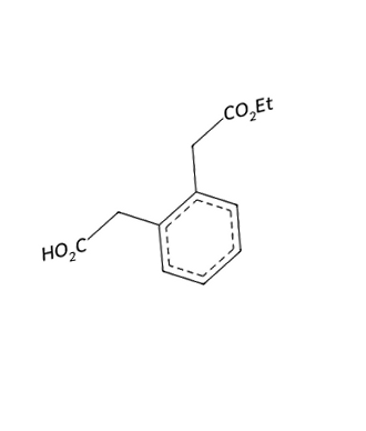 CCOC(=O)Cc1ccccc1CC(=O)O